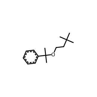 CC(C)(C)CCOC(C)(C)c1ccccc1